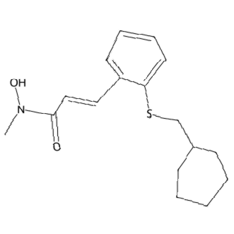 CN(O)C(=O)C=Cc1ccccc1SCC1CCCCC1